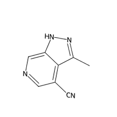 Cc1n[nH]c2cncc(C#N)c12